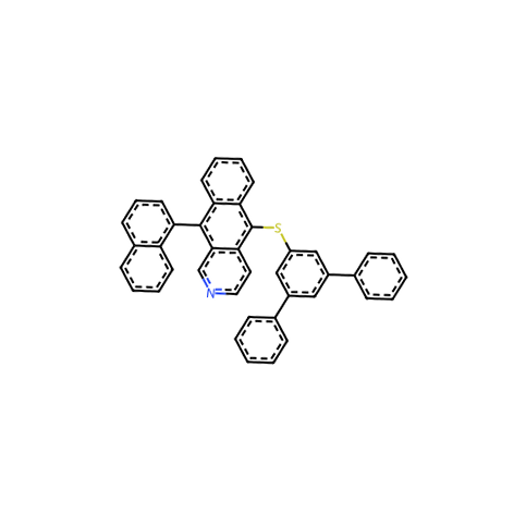 c1ccc(-c2cc(Sc3c4ccccc4c(-c4cccc5ccccc45)c4cnccc34)cc(-c3ccccc3)c2)cc1